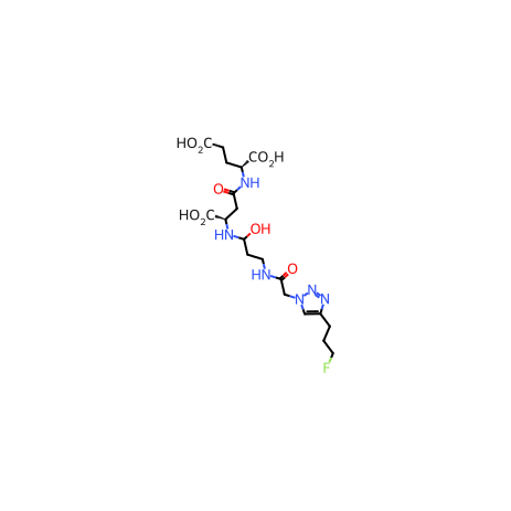 O=C(O)CC[C@H](NC(=O)C[C@@H](NC(O)CCNC(=O)Cn1cc(CCCF)nn1)C(=O)O)C(=O)O